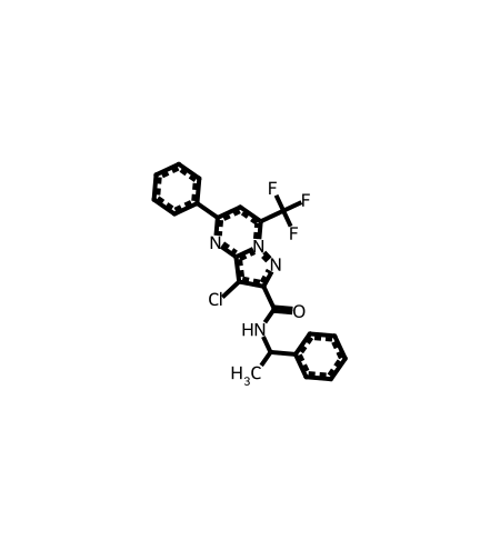 CC(NC(=O)c1nn2c(C(F)(F)F)cc(-c3ccccc3)nc2c1Cl)c1ccccc1